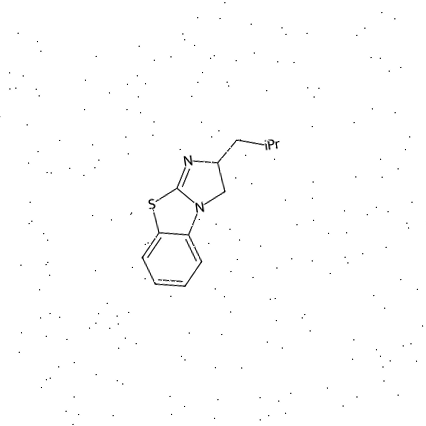 CC(C)CC1CN2C(=N1)Sc1ccccc12